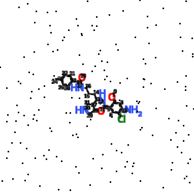 COc1cc(N)c(Cl)cc1C(=O)NC(CCCNC(=O)c1ccc(C)cc1)C1CCNC1